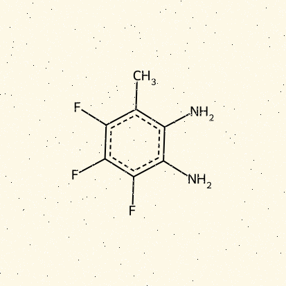 Cc1c(N)c(N)c(F)c(F)c1F